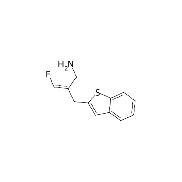 NC/C(=C\F)Cc1cc2ccccc2s1